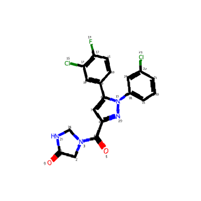 O=C1CN(C(=O)c2cc(-c3ccc(F)c(Cl)c3)n(-c3cccc(Cl)c3)n2)CN1